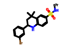 CCCNS(=O)(=O)c1ccc2c(c1)C(C)(C)CC(c1cccc(Br)c1)N2